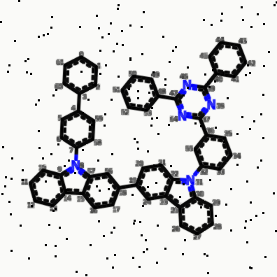 c1ccc(-c2ccc(-n3c4ccccc4c4ccc(-c5ccc6c(c5)c5ccccc5n6-c5cccc(-c6nc(-c7ccccc7)nc(-c7ccccc7)n6)c5)cc43)cc2)cc1